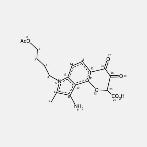 CC(=O)OCCCCn1c(C)c(N)c2c3c(ccc21)C(=O)C(=O)C(C(=O)O)O3